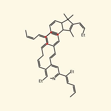 C\C=C/C=C(\C=C\C\C=C/C(=C\CC)C(=C\C(=N/C)C(=C\C=C/C)\CC)/C=C/c1ccccc1)C1=CC2C(C)=C(/C=C\CC)C(C)(C)C2C=C1